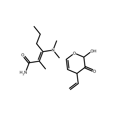 C=CC1C=COC(O)C1=O.CCCC(=C(C)C(N)=O)N(C)C